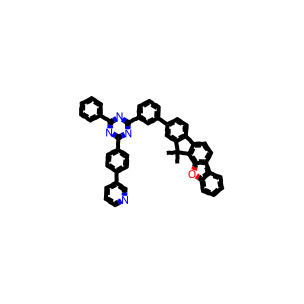 CC1(C)c2cc(-c3cccc(-c4nc(-c5ccccc5)nc(-c5ccc(-c6cccnc6)cc5)n4)c3)ccc2-c2ccc3c(oc4ccccc43)c21